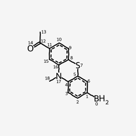 Bc1ccc2c(c1)Sc1ccc(C(C)=O)cc1N2C